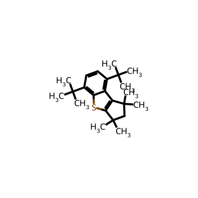 CC(C)(C)c1ccc(C(C)(C)C)c2c3c(sc12)C(C)(C)CC3(C)C